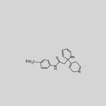 CCOC(=O)c1ccc(NC(=O)CC2(C3=CCN=CC3)C=CC=CN2)cc1